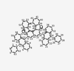 c1ccc(-c2c3ccccc3c(-c3cc4cc(-c5c6ccccc6c(-c6ccccc6)c6ccccc56)c5oc6ccccc6c5c4c4c3oc3ccccc34)c3ccccc23)cc1